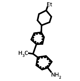 CCC1CCC(c2ccc(C(C)c3ccc(N)cc3)cc2)CC1